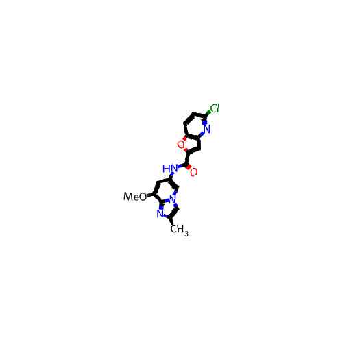 COc1cc(NC(=O)c2cc3nc(Cl)ccc3o2)cn2cc(C)nc12